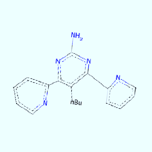 CCCCc1c(-c2ccccn2)nc(N)nc1-c1ccccn1